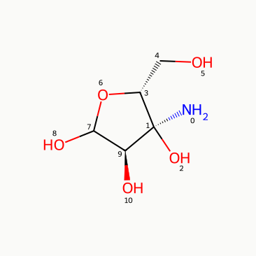 N[C@@]1(O)[C@@H](CO)OC(O)[C@@H]1O